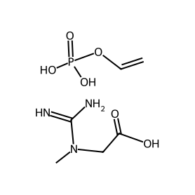 C=COP(=O)(O)O.CN(CC(=O)O)C(=N)N